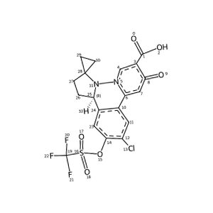 O=C(O)c1cn2c(cc1=O)-c1cc(Cl)c(OS(=O)(=O)C(F)(F)F)cc1[C@H]1CCC3(CC3)N12